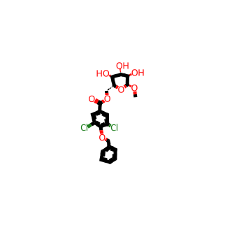 CO[C@H]1O[C@H](COC(=O)c2cc(Cl)c(OCc3ccccc3)c(Cl)c2)[C@@H](O)[C@H](O)[C@H]1O